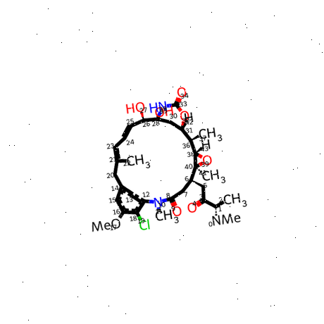 CN[C@@H](C)C(=O)C[C@H]1CC(=O)N(C)c2cc(cc(OC)c2Cl)C/C(C)=C/C=C/[C@@H](O)[C@@]2(O)C[C@H](OC(=O)N2)[C@@H](C)[C@@H]2O[C@@]12C